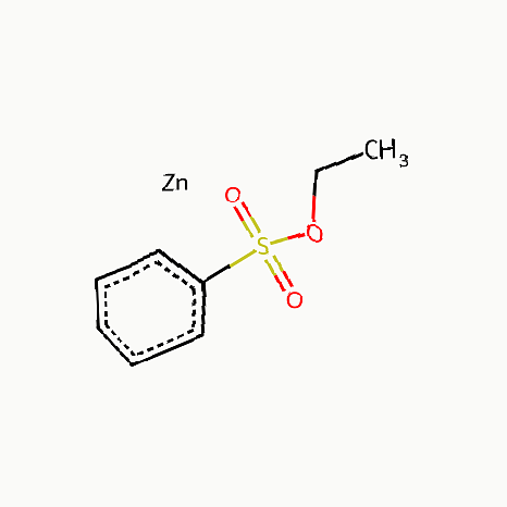 CCOS(=O)(=O)c1ccccc1.[Zn]